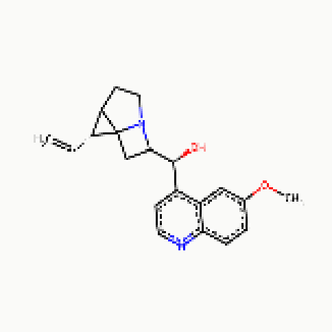 C=C[C@@H]1C2CCN3C([C@@H](O)c4ccnc5ccc(OC)cc45)CC213